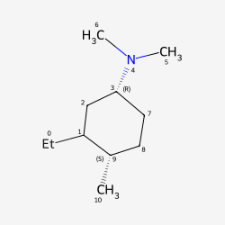 CCC1C[C@H](N(C)C)CC[C@@H]1C